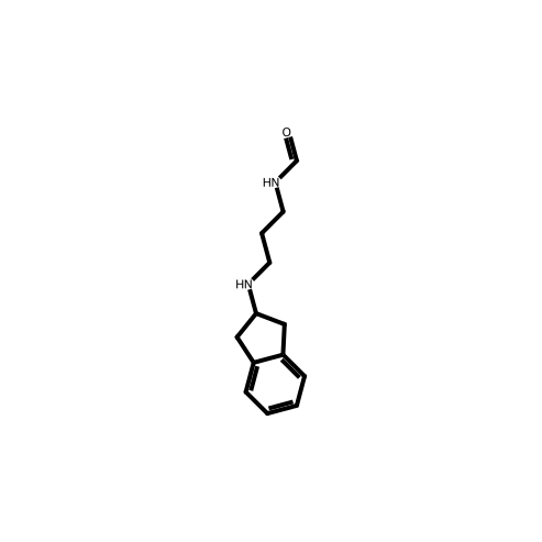 O=CNCCCNC1Cc2ccccc2C1